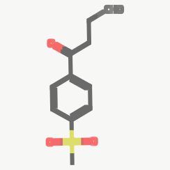 CS(=O)(=O)c1ccc(C(=O)CCC=O)cc1